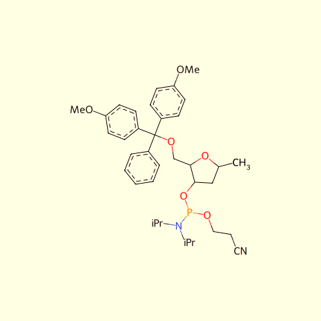 COc1ccc(C(OCC2OC(C)CC2OP(OCCC#N)N(C(C)C)C(C)C)(c2ccccc2)c2ccc(OC)cc2)cc1